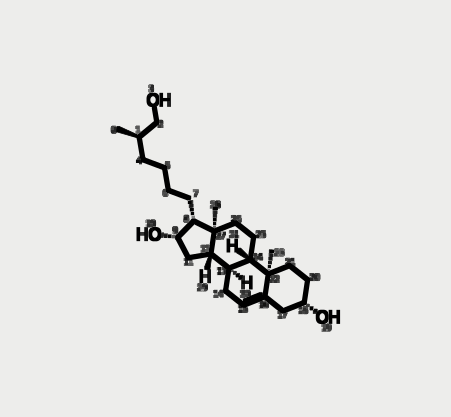 C[C@@H](CO)CCCC[C@H]1[C@@H](O)C[C@H]2[C@@H]3CC=C4C[C@@H](O)CC[C@]4(C)[C@H]3CC[C@@]21C